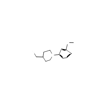 COc1cccc(N2CCC(CN)CC2)c1